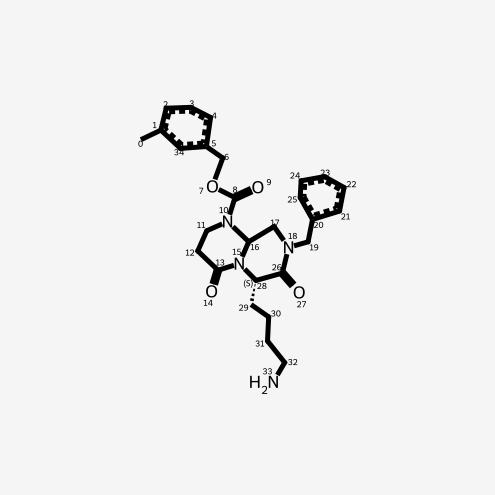 Cc1cccc(COC(=O)N2CCC(=O)N3C2CN(Cc2ccccc2)C(=O)[C@@H]3CCCCN)c1